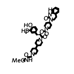 CBc1cc(C[C@@H](OC(=O)N2CCC(N3CCc4ccccc4NC3=O)CC2)C(=O)N2CCC(C3CCN(CC(=O)NOC)CC3)CC2)ccc1O